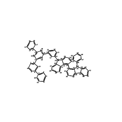 c1ccc(-c2cccc(-c3nc(-c4ccccc4)nc(-c4cccc(-n5c6ccccc6c6c(-c7cccc8c9ccccc9n(-c9ccccc9)c78)cccc65)c4)n3)c2)cc1